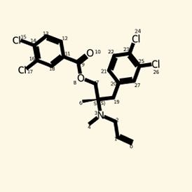 C=CCN(C)[C@](C)([CH]OC(=O)c1ccc(Cl)c(Cl)c1)Cc1ccc(Cl)c(Cl)c1